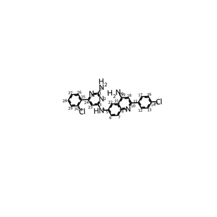 Nc1nc(Nc2ccc3nc(-c4ccc(Cl)cc4)cc(N)c3c2)cc(-c2ccccc2Cl)n1